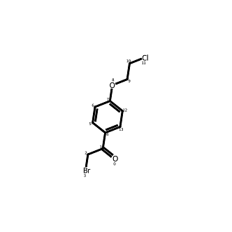 O=C(CBr)c1ccc(OCCCl)cc1